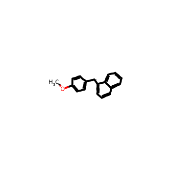 COc1ccc([CH]c2cccc3ccccc23)cc1